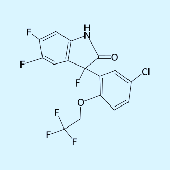 O=C1Nc2cc(F)c(F)cc2C1(F)c1cc(Cl)ccc1OCC(F)(F)F